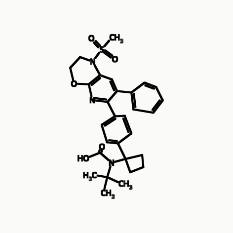 CC(C)(C)N(C(=O)O)C1(c2ccc(-c3nc4c(cc3-c3ccccc3)N(S(C)(=O)=O)CCO4)cc2)CCC1